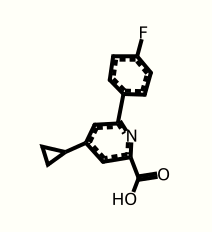 O=C(O)c1cc(C2CC2)cc(-c2ccc(F)cc2)n1